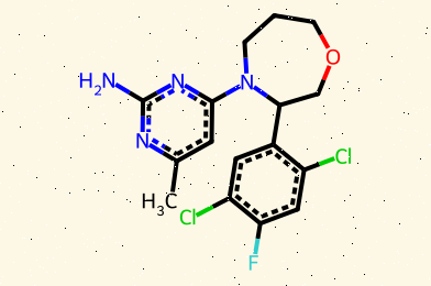 Cc1cc(N2CCCOCC2c2cc(Cl)c(F)cc2Cl)nc(N)n1